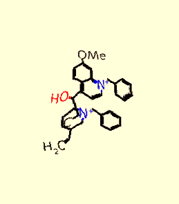 C=CC1C[N+]2(Cc3ccccc3)CCC1CC2C(O)c1cc[n+](Cc2ccccc2)c2cc(OC)ccc12